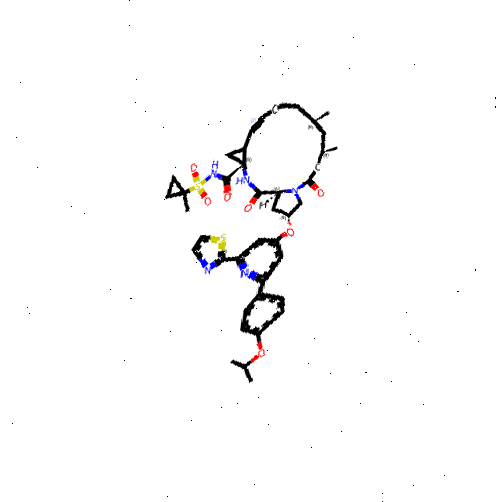 CC(C)Oc1ccc(-c2cc(O[C@@H]3C[C@H]4C(=O)N[C@]5(C(=O)NS(=O)(=O)C6(C)CC6)CC5/C=C\CC[C@@H](C)C[C@@H](C)CC(=O)N4C3)cc(-c3nccs3)n2)cc1